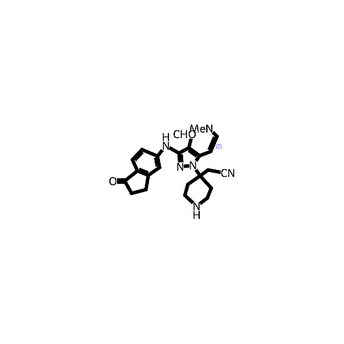 CN/C=C\c1c(C=O)c(Nc2ccc3c(c2)CCC3=O)nn1C1(CC#N)CCNCC1